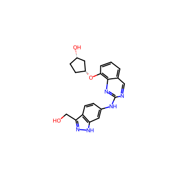 OCc1n[nH]c2cc(Nc3ncc4cccc(O[C@@H]5CC[C@H](O)C5)c4n3)ccc12